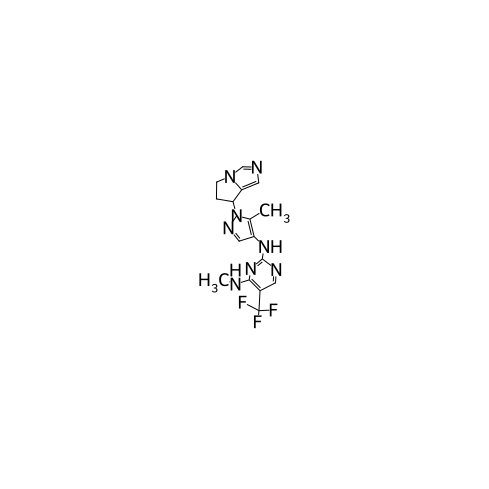 CNc1nc(Nc2cnn(C3CCn4cncc43)c2C)ncc1C(F)(F)F